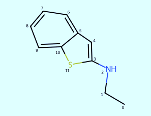 CCNc1cc2ccccc2s1